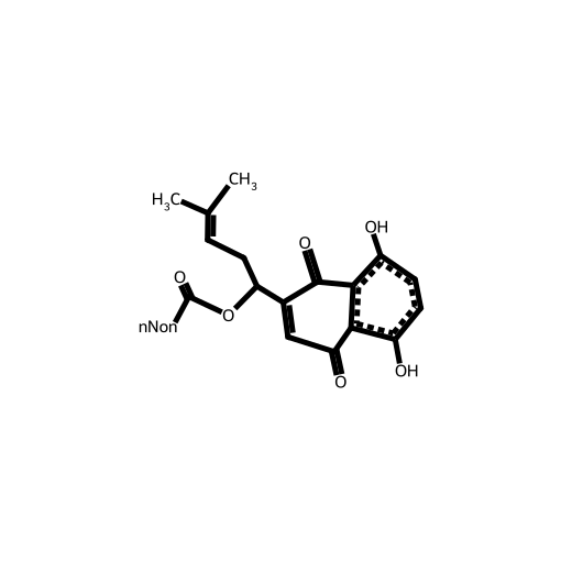 CCCCCCCCCC(=O)OC(CC=C(C)C)C1=CC(=O)c2c(O)ccc(O)c2C1=O